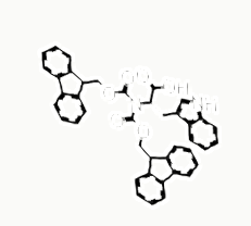 O=C(O)[C@H](Cc1c[nH]c2ccccc12)N(C(=O)OCC1c2ccccc2-c2ccccc21)C(=O)OCC1c2ccccc2-c2ccccc21